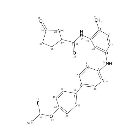 Cc1ccc(Nc2ncc(-c3ccc(OC(F)F)cc3)cn2)cc1NC(=O)C1CCC(=O)N1